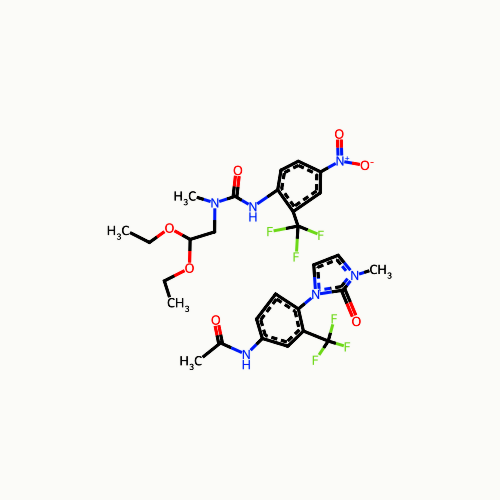 CC(=O)Nc1ccc(-n2ccn(C)c2=O)c(C(F)(F)F)c1.CCOC(CN(C)C(=O)Nc1ccc([N+](=O)[O-])cc1C(F)(F)F)OCC